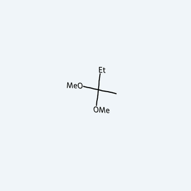 [CH2]CC(C)(OC)OC